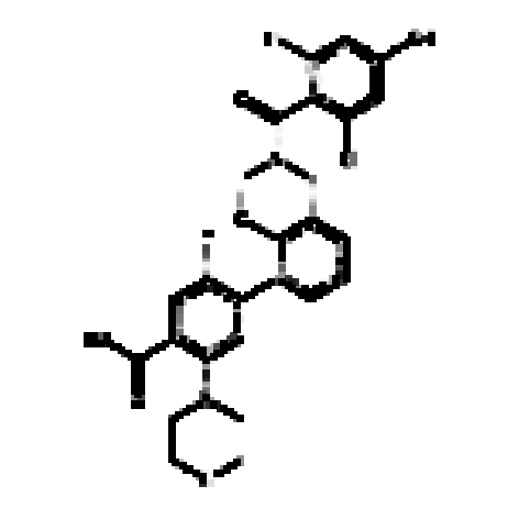 O=C(O)c1cc(F)c(-c2cccc3c2OCN(C(=O)c2c(Cl)cc(O)cc2Cl)C3)cc1N1CCOCC1